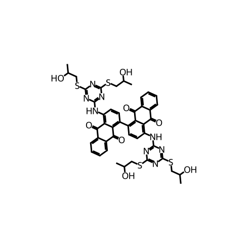 CC(O)CSc1nc(Nc2ccc(-c3ccc(Nc4nc(SCC(C)O)nc(SCC(C)O)n4)c4c3C(=O)c3ccccc3C4=O)c3c2C(=O)c2ccccc2C3=O)nc(SCC(C)O)n1